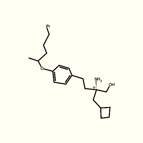 CC(C)CCCC(C)Oc1ccc(CC[C@@](N)(CO)CC2CCC2)cc1